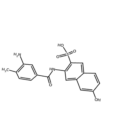 Cc1ccc(C(=O)Nc2cc3cc(O)ccc3cc2S(=O)(=O)O)cc1N